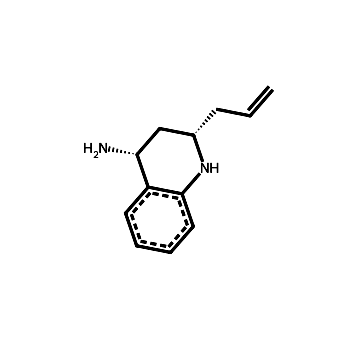 C=CC[C@H]1C[C@@H](N)c2ccccc2N1